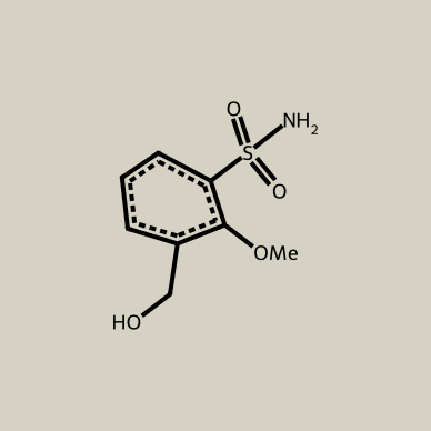 COc1c(CO)cccc1S(N)(=O)=O